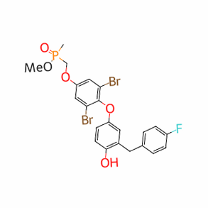 COP(C)(=O)COc1cc(Br)c(Oc2ccc(O)c(Cc3ccc(F)cc3)c2)c(Br)c1